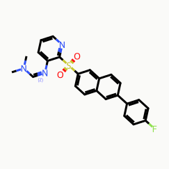 CN(C)/C=N\c1cccnc1S(=O)(=O)c1ccc2cc(-c3ccc(F)cc3)ccc2c1